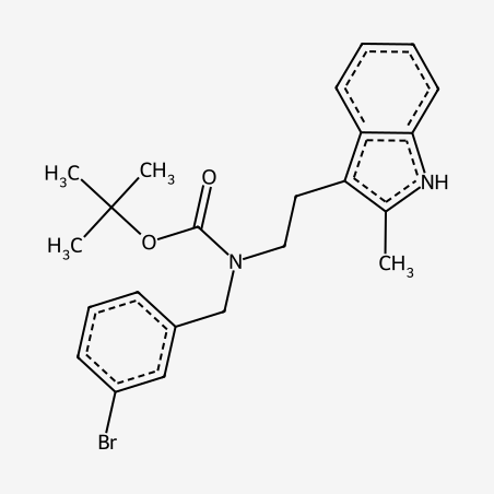 Cc1[nH]c2ccccc2c1CCN(Cc1cccc(Br)c1)C(=O)OC(C)(C)C